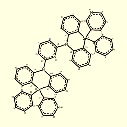 c1ccc([Si]2(c3cccnc3)c3ccccc3N(c3cccc(N4c5ccccc5[Si](c5ccccc5)(c5cccnc5)c5ccccc54)n3)c3ccccc32)cc1